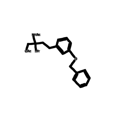 CCCC(CCc1cccc(OCc2ccccc2)c1)(COC(C)=O)NC(C)=O